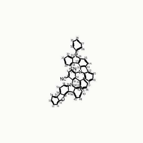 N#Cc1cc(C#N)c(-n2c3ccccc3c3ccc4c(c5ccccc5n4-c4ccccc4)c32)c(-c2ccccc2)c1-n1c2ccccc2c2c3oc4ccccc4c3ccc21